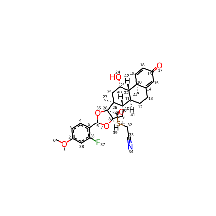 COc1ccc(C2O[C@@H]3C[C@H]4[C@@H]5CCC6=CC(=O)C=C[C@]6(C)[C@H]5[C@@H](O)C[C@]4(C)[C@]3(C(=O)SCC#N)O2)c(F)c1